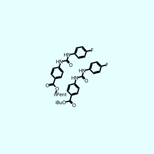 CC(C)COC(=O)c1ccc(NC(=O)Nc2ccc(F)cc2)cc1.CCCCCOC(=O)c1ccc(NC(=O)Nc2ccc(F)cc2)cc1